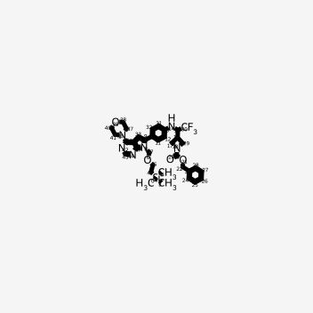 C[Si](C)(C)CCOCn1c(-c2ccc(NC(C3CN(C(=O)OCc4ccccc4)C3)C(F)(F)F)cc2)cc2c(N3CCOCC3)ncnc21